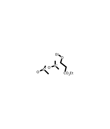 CCOCCC(=O)OCC.C[S+](C)[O-].C[S+](C)[O-]